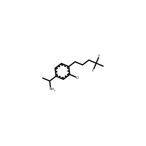 CC(N)c1ccc(CCCC(C)(F)F)c(Cl)c1